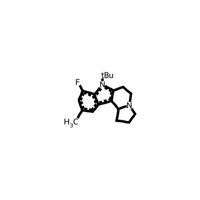 Cc1cc(F)c2c(c1)c1c(n2C(C)(C)C)CCN2CCCC12